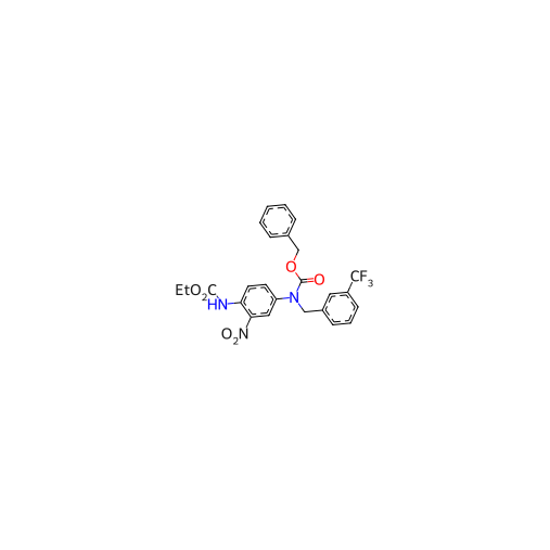 CCOC(=O)Nc1ccc(N(Cc2cccc(C(F)(F)F)c2)C(=O)OCc2ccccc2)cc1[N+](=O)[O-]